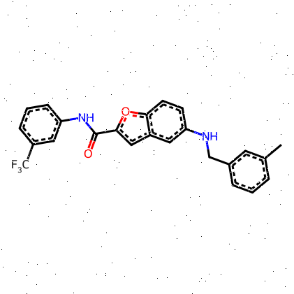 Cc1cccc(CNc2ccc3oc(C(=O)Nc4cccc(C(F)(F)F)c4)cc3c2)c1